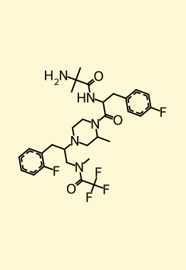 CC1CN(C(Cc2ccccc2F)CN(C)C(=O)C(F)(F)F)CCN1C(=O)C(Cc1ccc(F)cc1)NC(=O)C(C)(C)N